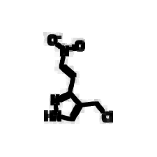 O=[N+]([O-])C=Cc1n[nH]cc1CCl